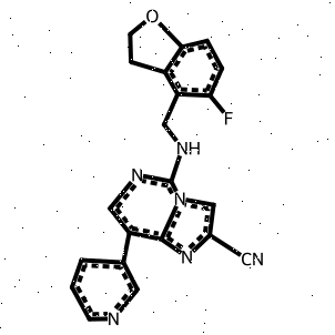 N#Cc1cn2c(NCc3c(F)ccc4c3CCO4)ncc(-c3cccnc3)c2n1